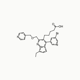 CCc1ccc2c(-c3cncc(Br)c3)c(CCCCC(=O)O)c(COCc3ccncc3)nn12